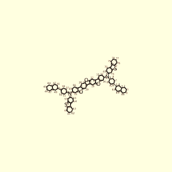 c1ccc2cc(-c3ccc(N(c4ccc5c(c4)oc4cc6c(cc45)oc4cc5c(cc46)oc4cc(N(c6ccc(-c7ccc8ccccc8c7)cc6)c6ccc7c(c6)sc6ccccc67)ccc45)c4ccc5c(c4)sc4ccccc45)cc3)ccc2c1